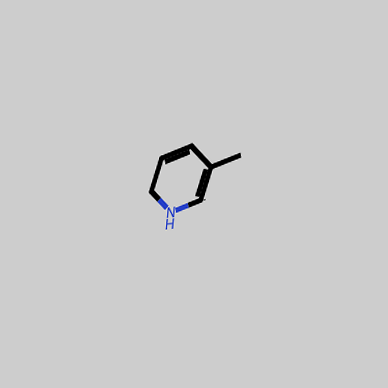 CC1=[C]NCC=C1